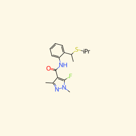 Cc1nn(C)c(F)c1C(=O)Nc1ccccc1C(C)SC(C)C